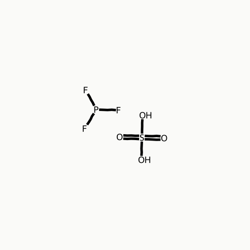 FP(F)F.O=S(=O)(O)O